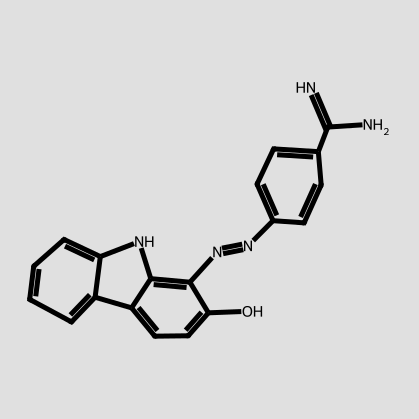 N=C(N)c1ccc(/N=N/c2c(O)ccc3c2[nH]c2ccccc23)cc1